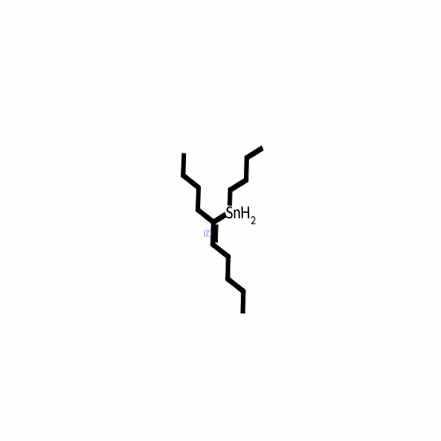 CCCC/C=[C](/CCCC)[SnH2][CH2]CCC